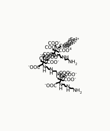 NCCNCCNC(CC(=O)[O-])C(CC(=O)[O-])(CC(=O)[O-])N(CC(=O)[O-])CC(=O)[O-].NCCNCCNC(CC(=O)[O-])C(CC(=O)[O-])(CC(=O)[O-])N(CC(=O)[O-])CC(=O)[O-].NCCNCCNC(CC(=O)[O-])C(CC(=O)[O-])(CC(=O)[O-])N(CC(=O)[O-])CC(=O)[O-].[Fe+3].[Fe+3].[Fe+3].[Fe+3].[Fe+3].[NH4+]